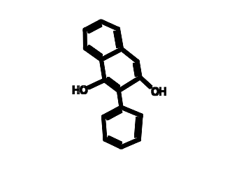 Oc1cc2ccccc2c(O)c1-c1ccccc1